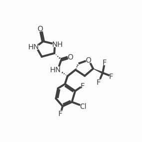 O=C1NC[C@@H](C(=O)N[C@@H](c2ccc(F)c(Cl)c2F)[C@@H]2CO[C@@H](C(F)(F)F)C2)N1